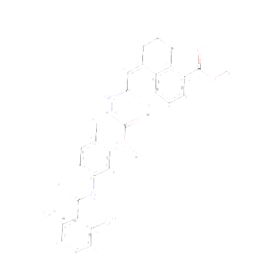 COC(=O)c1cccc2c1CCC/C2=C/C(=O)N[C@@H](Cc1ccc(NC(=O)c2c(Cl)cccc2Cl)cc1)C(=O)OC